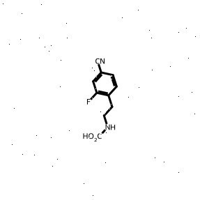 N#Cc1ccc(CCNC(=O)O)c(F)c1